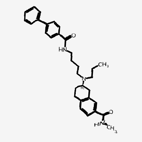 CCCN(CCCCNC(=O)c1ccc(-c2ccccc2)cc1)[C@@H]1CCc2ccc(C(=O)NC)cc2C1